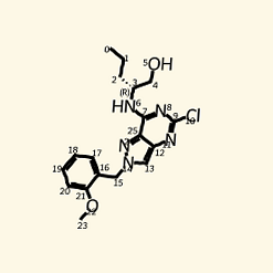 CCC[C@H](CO)Nc1nc(Cl)nc2cn(Cc3ccccc3OC)nc12